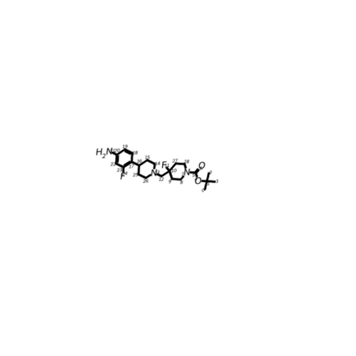 CC(C)(C)OC(=O)N1CCC(F)(CN2CCC(c3ccc(N)cc3F)CC2)CC1